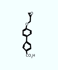 O=C(O)c1ccc(-c2ccc(OCC3CO3)cc2)cc1